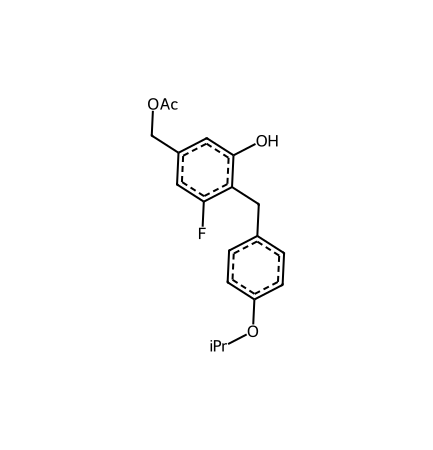 CC(=O)OCc1cc(O)c(Cc2ccc(OC(C)C)cc2)c(F)c1